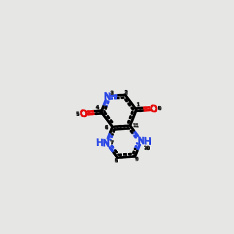 O=c1cnc(=O)c2[nH]cc[nH]c1=2